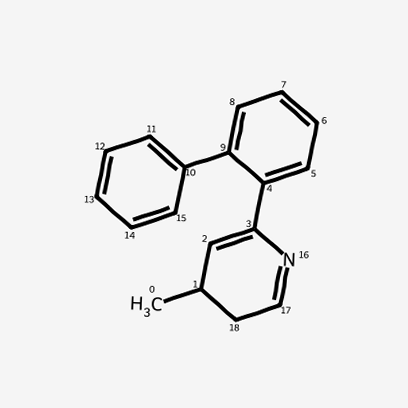 CC1C=C(c2ccccc2-c2ccccc2)N=CC1